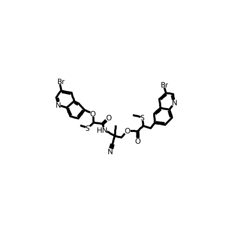 CSC(Cc1ccc2ncc(Br)cc2c1)C(=O)OCC(C)(C#N)NC(=O)C(Oc1ccc2ncc(Br)cc2c1)SC